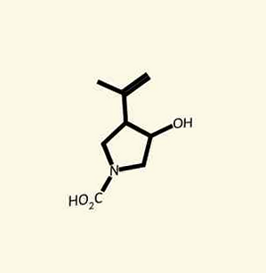 C=C(C)C1CN(C(=O)O)CC1O